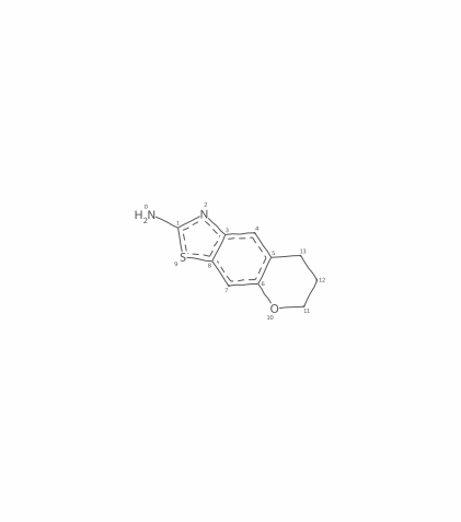 Nc1nc2cc3c(cc2s1)OCCC3